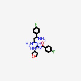 NC(CC(N)c1ccc(F)cc1)N/C(=N\C(=O)c1ccc(F)cc1)N[C@@H]1CCOC1